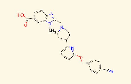 Cn1c(CN2CCC(c3cccc(OCc4ccc(C#N)cc4)n3)CC2)nc2ccc(C(=O)O)cc21